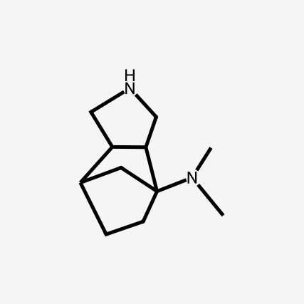 CN(C)C12CCC(C1)C1CNCC12